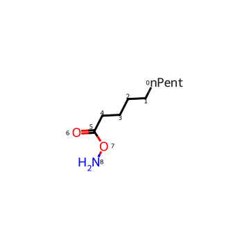 CCCCCCCCCC(=O)ON